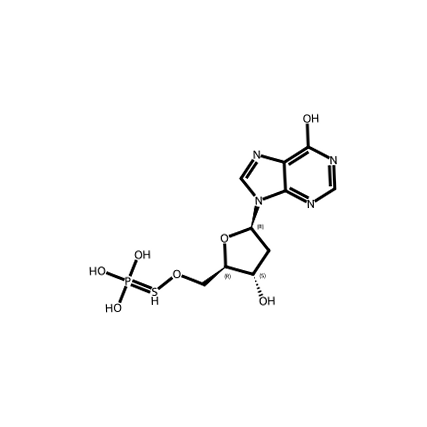 Oc1ncnc2c1ncn2[C@H]1C[C@H](O)[C@@H](CO[SH]=P(O)(O)O)O1